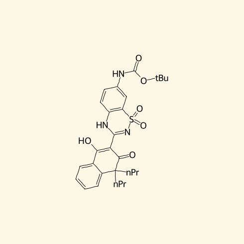 CCCC1(CCC)C(=O)C(C2=NS(=O)(=O)c3cc(NC(=O)OC(C)(C)C)ccc3N2)=C(O)c2ccccc21